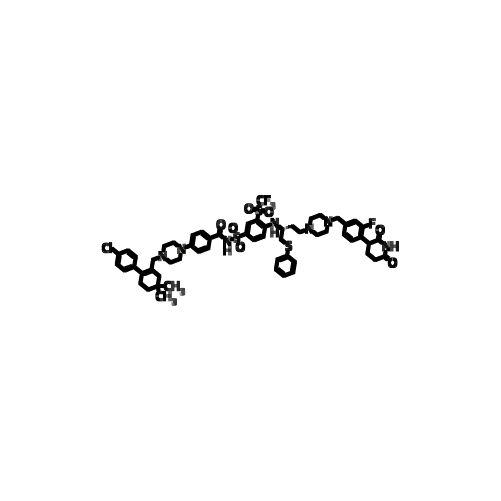 CC1(C)CCC(c2ccc(Cl)cc2)=C(CN2CCN(c3ccc(C(=O)NS(=O)(=O)c4ccc(N[C@H](CCN5CCN(Cc6ccc(C7CCC(=O)NC7=O)c(F)c6)CC5)CSc5ccccc5)c(S(=O)(=O)C(F)(F)F)c4)cc3)CC2)C1